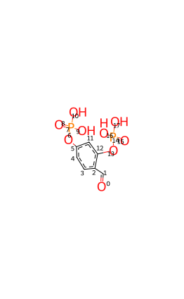 O=Cc1ccc(OP(=O)(O)O)cc1OP(=O)(O)O